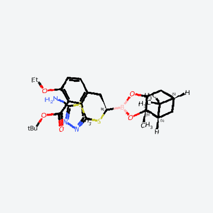 CCOc1ccc(C[C@H](Sc2nnc(N)s2)B2OC3C[C@@H]4C[C@@H](C4(C)C)[C@]3(C)O2)c(C)c1C(=O)OC(C)(C)C